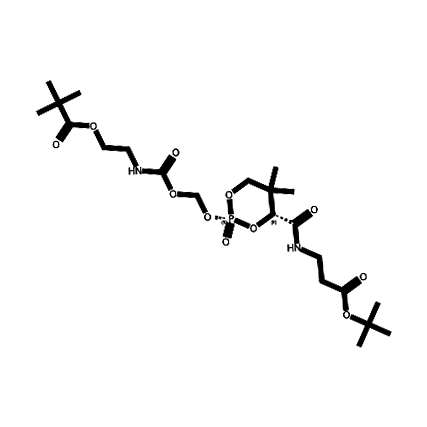 CC(C)(C)OC(=O)CCNC(=O)[C@@H]1O[P@](=O)(OCOC(=O)NCCOC(=O)C(C)(C)C)OCC1(C)C